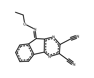 CCO/N=C1\c2ccccc2-c2nc(C#N)c(C#N)nc21